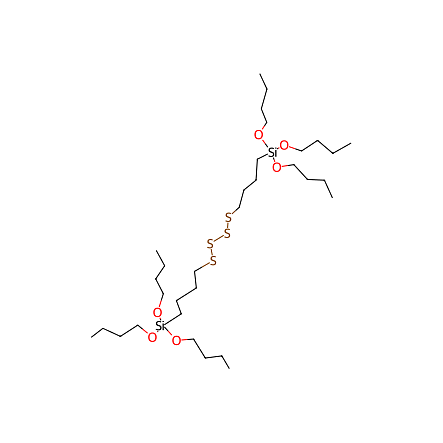 CCCCO[Si](CCCCSSSSCCCC[Si](OCCCC)(OCCCC)OCCCC)(OCCCC)OCCCC